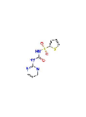 O=C(Nc1ncccn1)NS(=O)(=O)c1cccs1